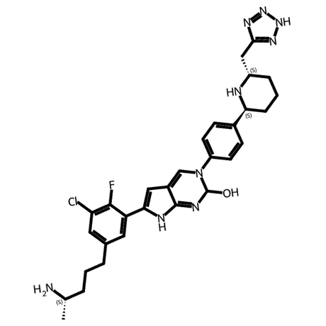 C[C@H](N)CCCc1cc(Cl)c(F)c(-c2cc3c([nH]2)=NC(O)N(c2ccc([C@@H]4CCC[C@@H](Cc5nn[nH]n5)N4)cc2)C=3)c1